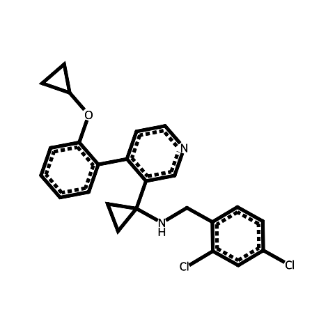 Clc1ccc(CNC2(c3cnccc3-c3ccccc3OC3CC3)CC2)c(Cl)c1